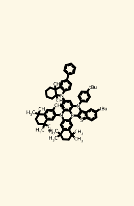 Cc1cc2c(cc1N1c3cc4c(cc3B3c5sc6ccc(C(C)(C)C)cc6c5N(c5ccc(C(C)(C)C)cc5)c5cc(N6c7ccc(-c8ccccc8)cc7C7(C)CCCCC67C)cc1c53)C(C)(C)CCC4(C)C)C(C)(C)CCC2(C)C